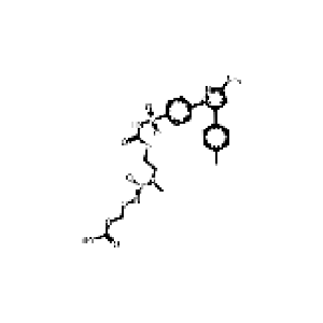 CCCC(=O)OCON=[N+]([O-])N(C)CCOC(=O)NS(=O)(=O)c1ccc(-n2nc(C(F)(F)F)cc2-c2ccc(C)cc2)cc1